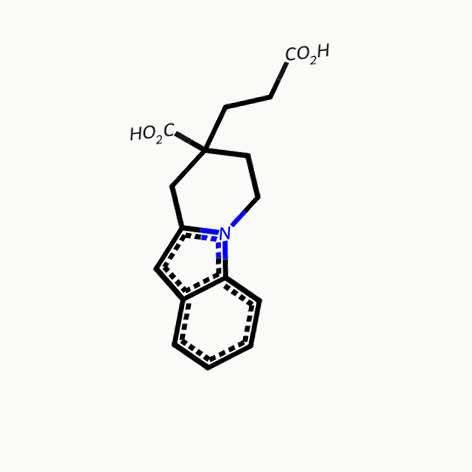 O=C(O)CCC1(C(=O)O)CCn2c(cc3ccccc32)C1